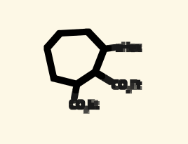 CCCCCCC1CCCCC(C(=O)OCC)C1C(=O)OCC